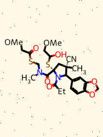 CCC(=O)N1C(c2ccc3c(c2)OCO3)[C@@](C)(C#N)C[C@]1(SC(O)COC)C(=O)N(C)CSC(=O)COC